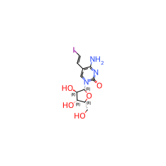 Nc1nc(=O)n([C@@H]2O[C@H](CO)[C@H](O)[C@H]2O)cc1C=CI